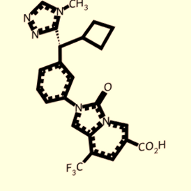 Cn1cnnc1[C@@H](c1cccc(-n2cc3c(C(F)(F)F)cc(C(=O)O)cn3c2=O)c1)C1CCC1